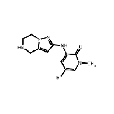 Cn1cc(Br)cc(Nc2cc3n(n2)CCNC3)c1=O